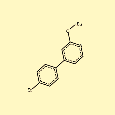 CCc1ccc(-c2ccnc(OC(C)(C)C)c2)cc1